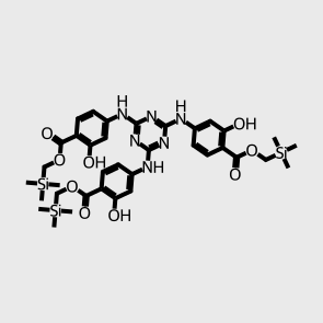 C[Si](C)(C)COC(=O)c1ccc(Nc2nc(Nc3ccc(C(=O)OC[Si](C)(C)C)c(O)c3)nc(Nc3ccc(C(=O)OC[Si](C)(C)C)c(O)c3)n2)cc1O